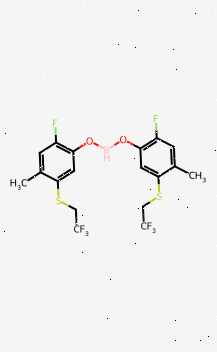 Cc1cc(F)c(OBOc2cc(SCC(F)(F)F)c(C)cc2F)cc1SCC(F)(F)F